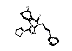 O=c1c2cc(O)ccc2n2c(N3CCCC3)nnc2n1C/C=C/c1ccccc1